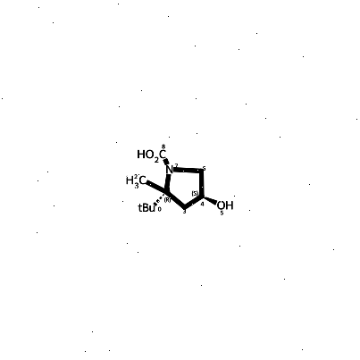 CC(C)(C)[C@@]1(C)C[C@H](O)CN1C(=O)O